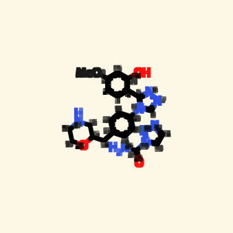 COc1ccc(-c2nncn2-c2ccc(CC3CNCCO3)cc2)c(O)c1.NC(=O)n1ccnn1